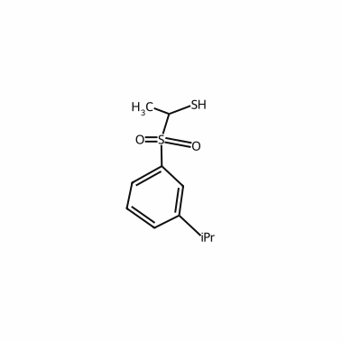 CC(C)c1cccc(S(=O)(=O)C(C)S)c1